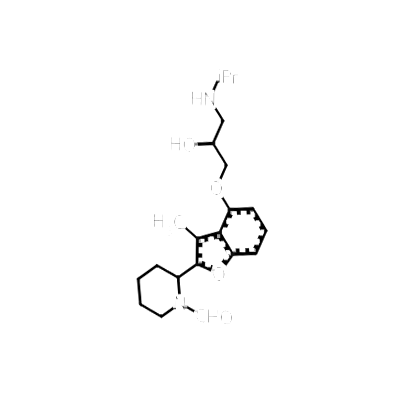 Cc1c(C2CCCCN2C=O)oc2cccc(OCC(O)CNC(C)C)c12